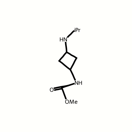 COC(=O)NC1CC(NC(C)C)C1